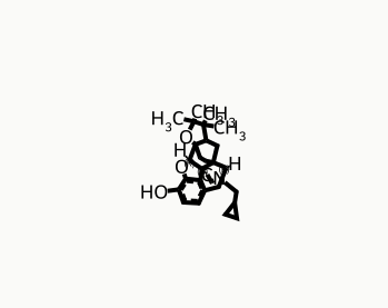 CC1(C)OC23CCC4(CC2C1(C)C)[C@H]1Cc2ccc(O)c5c2[C@@]4(CCN1CC1CC1)[C@H]3O5